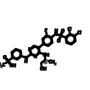 C[C@H](CO)Nc1nc(Nc2cccc(S(C)(=N)=O)c2)ncc1-c1ccc(NS(=O)(=O)c2cccc(Cl)c2Cl)c(F)c1